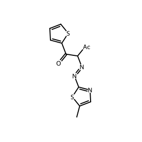 CC(=O)C(N=Nc1ncc(C)s1)C(=O)c1cccs1